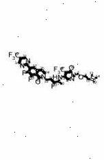 CC(Nc1cnn(COCC[Si](C)(C)C)c(=O)c1C(F)(F)F)/C(F)=C/Cn1ccc2cc(-c3ncc(C(F)(F)F)cn3)c(F)c(F)c2c1=O